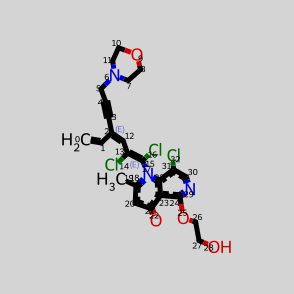 C=C/C(C#CCN1CCOCC1)=C\C(Cl)=C(/Cl)n1c(C)cc(=O)c2c(OCCO)ncc(Cl)c21